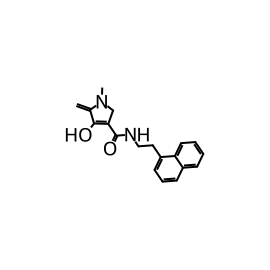 C=C1C(O)=C(C(=O)NCCc2cccc3ccccc23)CN1C